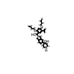 C=C(C)c1cc(C(O)N2Cc3ccc(C4(O)CCNCC4)cc3C2)c(OCCCC)cc1OCCCC